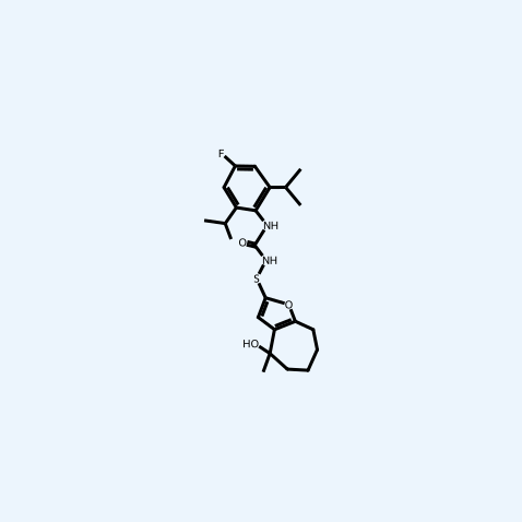 CC(C)c1cc(F)cc(C(C)C)c1NC(=O)NSc1cc2c(o1)CCCCC2(C)O